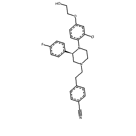 N#Cc1ccc(CCN2CCN(c3ccc(OCCO)cc3Cl)[C@H](c3ccc(F)cc3)C2)cc1